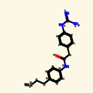 N=C(N)Nc1ccc(CC(=O)Nc2ccc(CCC(=O)O)cc2)cc1